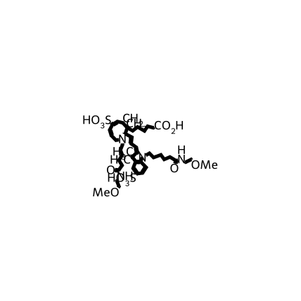 C=C1/C=C(S(=O)(=O)O)\C=C/C/[N+](CCCCCC(=O)NCCOC)=C(/C=C/C=C2/N(CCCCCC(=O)NCCOC)c3ccc(S(=O)(=O)O)cc3C2(C)C)C1(C)CCCCCC(=O)O